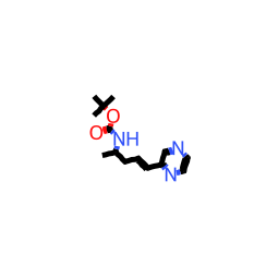 CC(CC=Cc1cnccn1)NC(=O)OC(C)(C)C